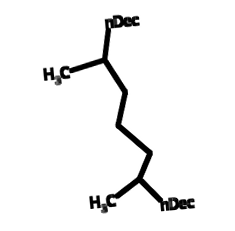 CCCCCCCCCCC(C)CCCC(C)CCCCCCCCCC